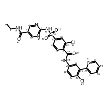 CCNC(=O)c1cnc(NS(=O)(=O)c2ccc(C(=O)Nc3ccc(Cl)c(-c4ccccn4)c3)c(Cl)c2)nc1